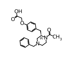 CC(=O)N1CCN(Cc2ccccc2)C[C@H]1Cc1ccc(OCC(=O)O)cc1